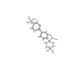 CC(C)C1(c2ccc(-c3ccc(C(C)(C)C)cc3)cc2)CCC(C)(C)CC1